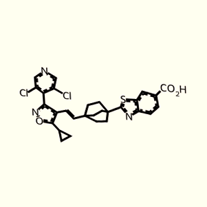 O=C(O)c1ccc2nc(C34CCC(C=Cc5c(-c6c(Cl)cncc6Cl)noc5C5CC5)(CC3)CC4)sc2c1